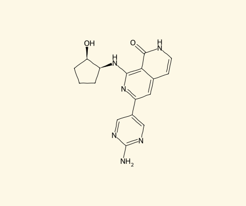 Nc1ncc(-c2cc3cc[nH]c(=O)c3c(N[C@H]3CCC[C@H]3O)n2)cn1